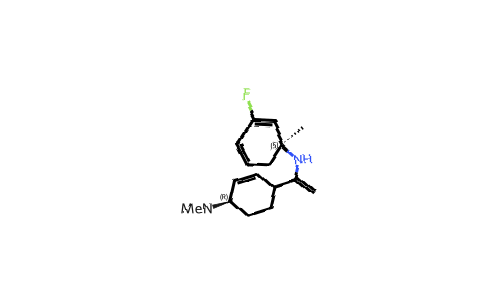 C=C(N[C@]1(C)C=C(F)C=CC1)C1C=C[C@H](NC)CC1